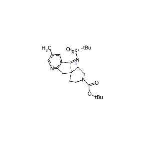 Cc1cnc2c(c1)/C(=N\[S@+]([O-])C(C)(C)C)C1(CCN(C(=O)OC(C)(C)C)CC1)C2